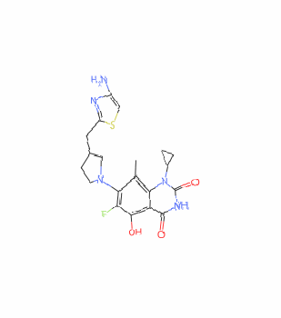 Cc1c(N2CCC(Cc3nc(N)cs3)C2)c(F)c(O)c2c(=O)[nH]c(=O)n(C3CC3)c12